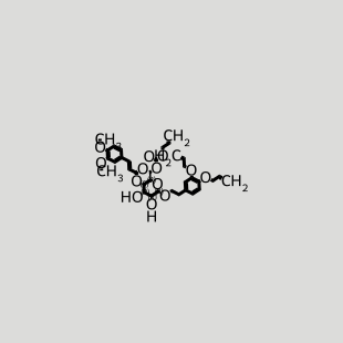 C=CCOC(=O)OC[C@H]1O[C@@H](OCCc2ccc(OCC=C)c(OCC=C)c2)[C@H](O)[C@@H](O)[C@@H]1OC(=O)C=Cc1ccc(OC)c(OC)c1